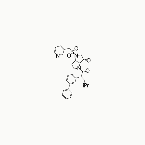 CC(C)CC(C(=O)N1CCC2C1C(=O)CN2S(=O)(=O)Cc1cccnc1)c1cccc(-c2ccccc2)c1